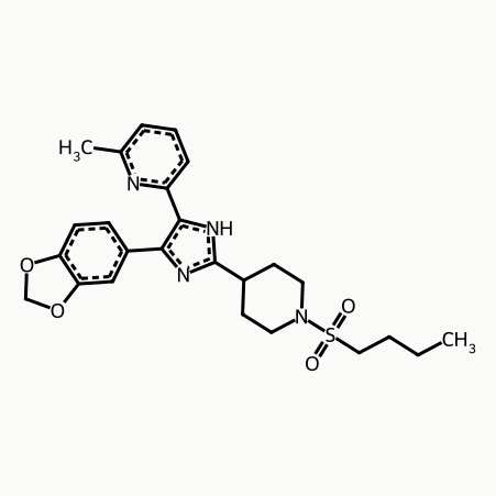 CCCCS(=O)(=O)N1CCC(c2nc(-c3ccc4c(c3)OCO4)c(-c3cccc(C)n3)[nH]2)CC1